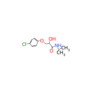 CC(C)NC(=O)C(O)COc1ccc(Cl)cc1